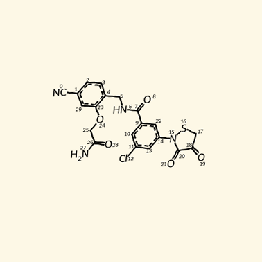 N#Cc1ccc(CNC(=O)c2cc(Cl)cc(N3SCC(=O)C3=O)c2)c(OCC(N)=O)c1